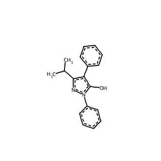 CC(C)c1nn(-c2ccccc2)c(O)c1-c1ccccc1